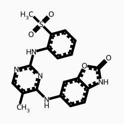 Cc1cnc(Nc2ccccc2S(C)(=O)=O)nc1Nc1ccc2[nH]c(=O)oc2c1